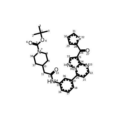 CC(C)(C)OC(=O)N1CCC(CC(=O)Nc2cccc(-c3ccnc4c(C(=O)c5cccs5)cnn34)c2)CC1